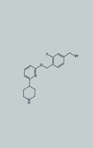 CC(C)Cc1ccc(COc2cccc(C3CCNCC3)n2)c(F)c1